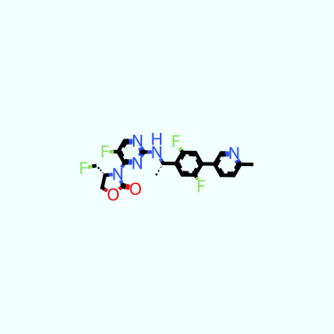 Cc1ccc(-c2cc(F)c([C@H](C)Nc3ncc(F)c(N4C(=O)OC[C@@H]4CF)n3)cc2F)cn1